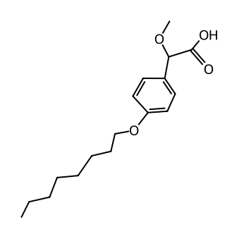 CCCCCCCCOc1ccc(C(OC)C(=O)O)cc1